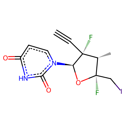 C#C[C@]1(F)[C@H](n2ccc(=O)[nH]c2=O)O[C@](F)(CI)[C@H]1C